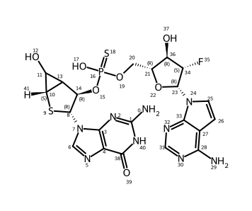 Nc1nc2c(ncn2[C@@H]2S[C@@H]3C(O)C3[C@H]2OP(O)(=S)OC[C@H]2O[C@@H](n3ccc4c(N)ncnc43)[C@@H](F)[C@@H]2O)c(=O)[nH]1